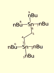 CCC[CH2][Sn]([CH2]CCC)([CH2]CCC)[CH2][CH2][Sn]([CH2]CCC)([CH2]CCC)[CH2]CCC